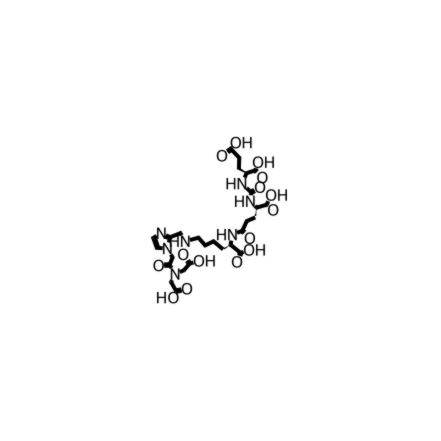 O=C(O)CC[C@H](NC(=O)N[C@@H](CCC(=O)N[C@@H](CCCCNCc1nccn1CC(=O)N(CC(=O)O)CC(=O)O)C(=O)O)C(=O)O)C(=O)O